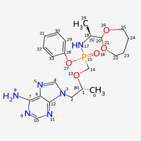 C[C@H](Cn1cnc2c(N)ncnc21)OCP(=O)(N[C@@H](C)C1OCCCCO1)Oc1ccccc1